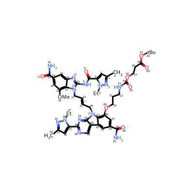 CCn1nc(C)cc1C(=O)Nc1nc2cc(C(N)=O)cc(OC)c2n1C/C=C/Cn1c2nc(-c3cc(C)nn3CC)ncc2c2cc(C(N)=O)cc(OCCCNC(=O)OCCC(=O)OC(C)(C)C)c21